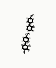 CCCC1CCC(C2CC[C@H](COC3CCC(C4CC[C@H](I)C(F)[C@@H]4F)CC3)C(F)C2F)CC1